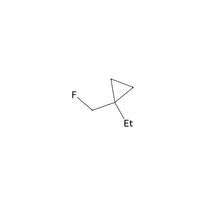 CCC1(CF)CC1